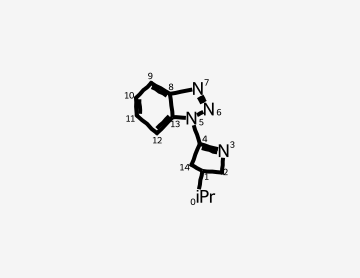 CC(C)C1CN=C(n2nnc3ccccc32)C1